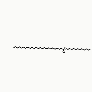 CCCCCCCCCCCCCCCCCCCCCCCCC(=O)OCCCCCCCCCCCC